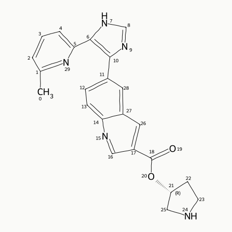 Cc1cccc(-c2[nH]cnc2-c2ccc3ncc(C(=O)O[C@@H]4CCNC4)cc3c2)n1